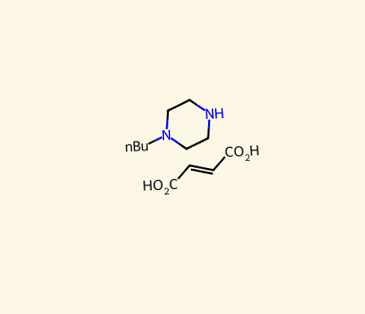 CCCCN1CCNCC1.O=C(O)C=CC(=O)O